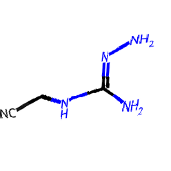 N#CCNC(N)=NN